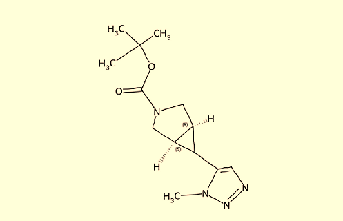 Cn1nncc1C1[C@H]2CN(C(=O)OC(C)(C)C)C[C@@H]12